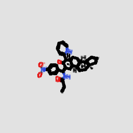 CCC(=O)NC(c1ccc([N+](=O)[O-])cc1)C1C[C@@]2(C)[C@@H](CC[C@H]3[C@@H]4CCC[C@@]4(C)CC[C@@H]32)C(C2=CC=CC=CN2)C1=O